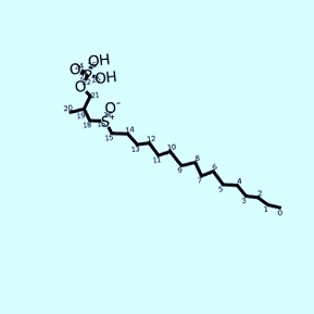 CCCCCCCCCCCCCCCC[S+]([O-])CC(C)COP(=O)(O)O